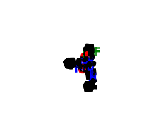 Cc1ccccc1CN1CCN(c2c(C)n(Cc3c(F)cccc3F)c(=O)n(C[C@H](N)c3ccccc3)c2=O)CC1